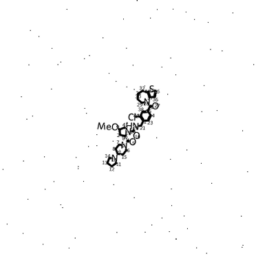 COC1C[C@@H](C(=O)N2CCC(N3CCCC3)CC2)N(C(=O)NCc2ccc(C(=O)N3CCCCc4sccc43)cc2Cl)C1